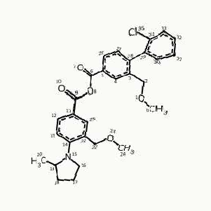 COCc1cc(C(=O)OC(=O)c2ccc(N3CCCC3C)c(COC)c2)ccc1-c1ccccc1Cl